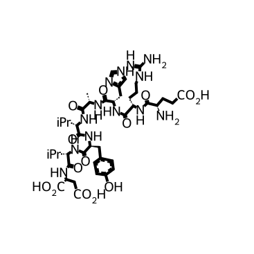 CC(C)[C@H](NC(=O)[C@H](C)NC(=O)[C@H](Cc1c[nH]cn1)NC(=O)[C@H](CCCNC(=N)N)NC(=O)[C@@H](N)CCC(=O)O)C(=O)N[C@@H](Cc1ccc(O)cc1)C(=O)N[C@H](C(=O)N[C@@H](CC(=O)O)C(=O)O)C(C)C